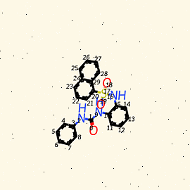 O=C(Nc1ccccc1)Nc1ccccc1NS(=O)(=O)c1cccc2ccccc12